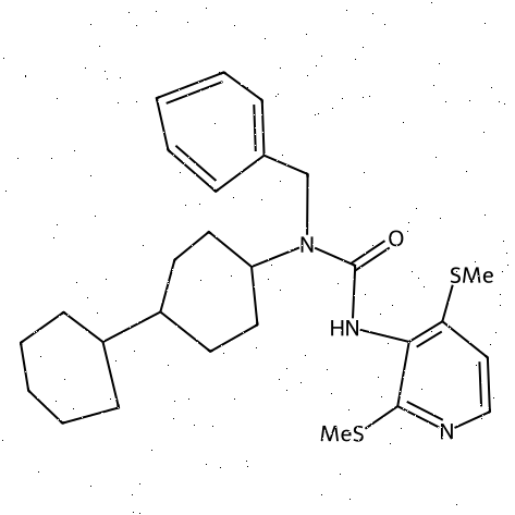 CSc1ccnc(SC)c1NC(=O)N(Cc1ccccc1)C1CCC(C2CCCCC2)CC1